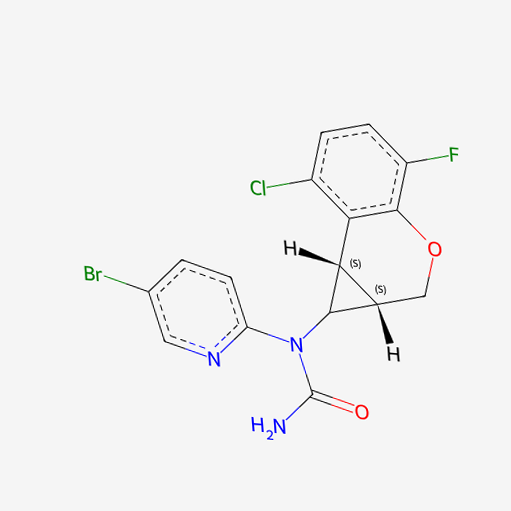 NC(=O)N(c1ccc(Br)cn1)C1[C@H]2COc3c(F)ccc(Cl)c3[C@@H]12